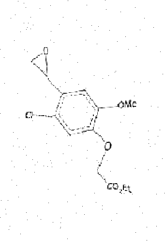 CCOC(=O)COc1cc(Cl)c(C2CO2)cc1OC